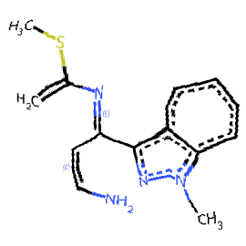 C=C(/N=C(\C=C/N)c1nn(C)c2ccccc12)SC